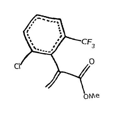 C=C(C(=O)OC)c1c(Cl)cccc1C(F)(F)F